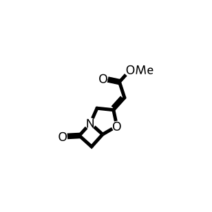 COC(=O)/C=C1\CN2C(=O)CC2O1